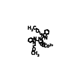 CCOCCn1c(-c2cccc(-c3nc4ccccc4n3CCOCC)n2)nc2ccccc21.[Cl-].[Cl-].[Co+2]